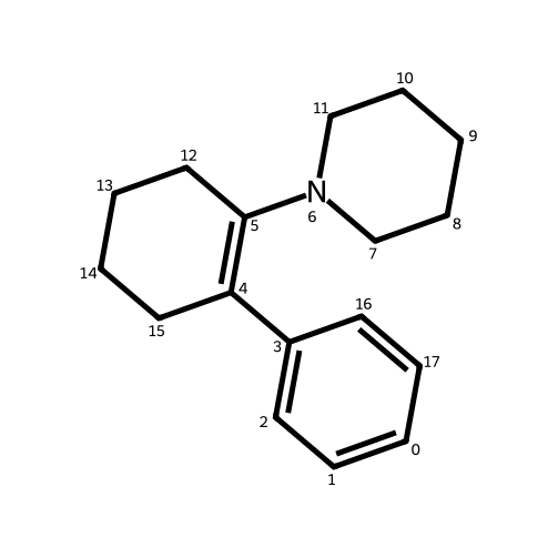 c1ccc(C2=C(N3CCCCC3)CCCC2)cc1